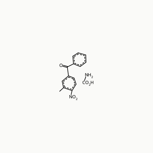 Cc1cc(C(=O)c2ccccc2)ccc1[N+](=O)[O-].NC(=O)O